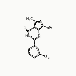 CCCc1nn(C)c2c(=O)[nH]c(-c3cccc(C(F)(F)F)c3)nc12